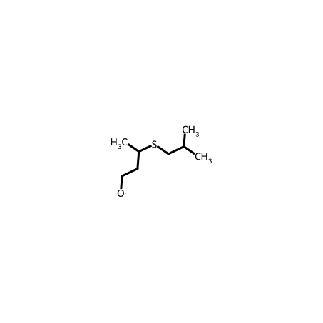 CC(C)CSC(C)CC[O]